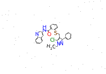 CCn1nc(-c2ccccc2)c(CSc2ccccc2C(=O)Nc2cnc3ccccc3c2)c1Cl